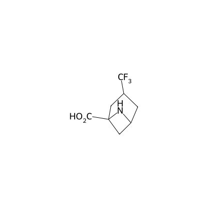 O=C(O)C12CC(CC(C(F)(F)F)C1)N2